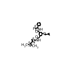 Cc1nc(C)c(-c2csc(NC(=O)Cc3cc(OCC4CC4)cc(C(=O)N[C@H](c4ccccc4)C(F)(F)F)c3)n2)s1